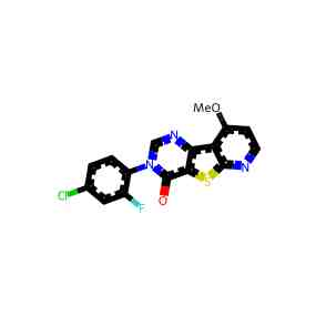 COc1ccnc2sc3c(=O)n(-c4ccc(Cl)cc4F)cnc3c12